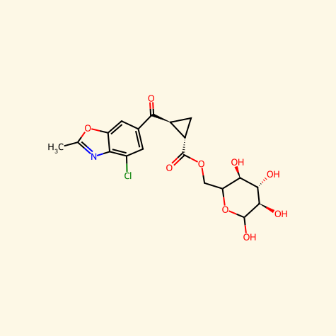 Cc1nc2c(Cl)cc(C(=O)[C@H]3C[C@@H]3C(=O)OCC3OC(O)[C@H](O)[C@@H](O)[C@@H]3O)cc2o1